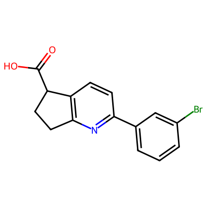 O=C(O)C1CCc2nc(-c3cccc(Br)c3)ccc21